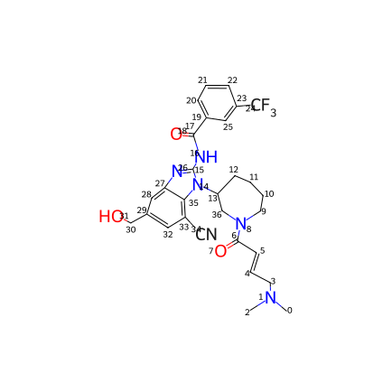 CN(C)CC=CC(=O)N1CCCCC(n2c(NC(=O)c3cccc(C(F)(F)F)c3)nc3cc(CO)cc(C#N)c32)C1